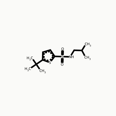 CC(C)CNS(=O)(=O)c1ccc(C(C)(C)C)s1